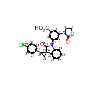 O=C(O)c1cc(N2CCOC2=O)cc(N2C(=O)[C@]3(C[C@H]3c3ccc(Cl)cc3)c3ccccc32)c1